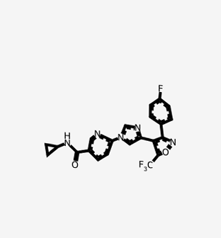 O=C(NC1CC1)c1ccc(-n2cnc(-c3c(-c4ccc(F)cc4)noc3C(F)(F)F)c2)nc1